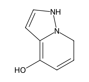 OC1=C2C=CNN2CC=C1